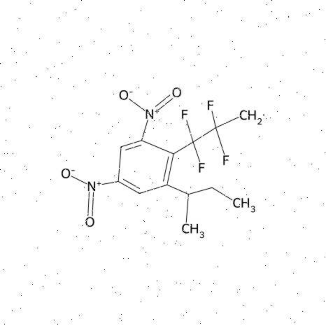 [CH2]C(F)(F)C(F)(F)c1c(C(C)CC)cc([N+](=O)[O-])cc1[N+](=O)[O-]